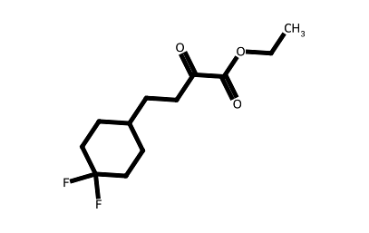 CCOC(=O)C(=O)CCC1CCC(F)(F)CC1